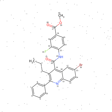 CCCc1c(-c2ccccc2)nc2ccc(Br)cc2c1C(=O)Nc1ccc(C(=O)OC)cc1F